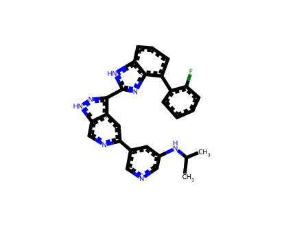 CC(C)Nc1cncc(-c2cc3c(-c4nc5c(-c6ccccc6F)cccc5[nH]4)n[nH]c3cn2)c1